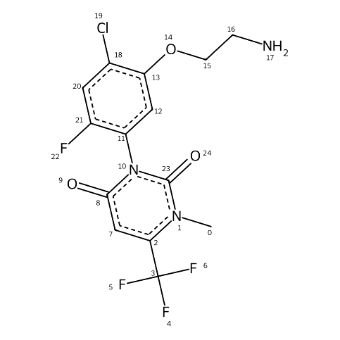 Cn1c(C(F)(F)F)cc(=O)n(-c2cc(OCCN)c(Cl)cc2F)c1=O